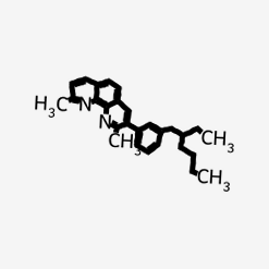 CCCCC(CC)Cc1cccc(-c2cc3ccc4ccc(C)nc4c3nc2C)c1